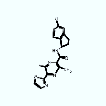 Cc1nc(C(=O)N[C@H]2CCc3cc(Cl)ccc32)c(N)nc1-c1ncco1